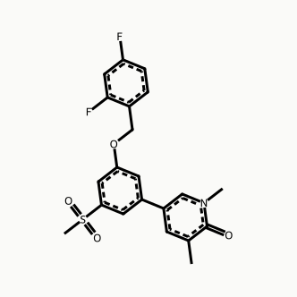 Cc1cc(-c2cc(OCc3ccc(F)cc3F)cc(S(C)(=O)=O)c2)cn(C)c1=O